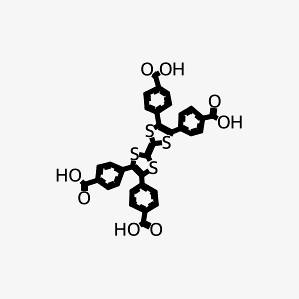 O=C(O)c1ccc(C2=C(c3ccc(C(=O)O)cc3)SC(=C3SC(c4ccc(C(=O)O)cc4)=C(c4ccc(C(=O)O)cc4)S3)S2)cc1